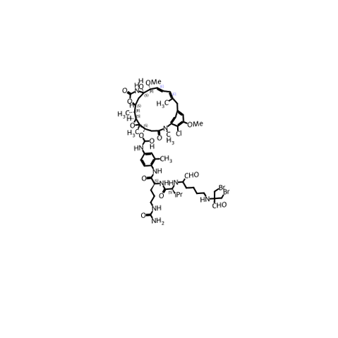 COc1cc2cc(c1Cl)N(C)C(=O)C[C@H](OC(O)Nc1ccc(NC(=O)[C@H](CCCNC(N)=O)NC(=O)[C@@H](NC(C=O)CCCCNC(C=O)(CBr)CBr)C(C)C)c(C)c1)[C@]1(C)O[C@H]1[C@H](C)[C@@H]1C[C@@](O)(NC(=O)O1)[C@H](OC)/C=C/C=C(\C)C2